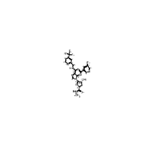 CNC(=O)[C@@H]1C[C@@H](O)[C@H](n2cnc3c(NCc4cc(C(F)(F)F)ccn4)nc(-c4cncc(F)c4)nc32)O1